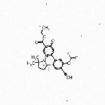 C#Cc1cc2c(cc1OC(F)F)-c1cc(=O)c(C(=O)OCC)cn1N1[C@@H]2CCC1(C)C